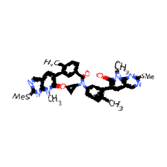 CSc1ncc2cc(-c3cc(C(=O)N(c4ccc(C)c(-c5cc6cnc(SC)nc6n(C)c5=O)c4)C4CC4)ccc3C)c(=O)n(C)c2n1